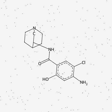 Nc1cc(O)c(C(=O)NC2CN3CCC2CC3)cc1Cl